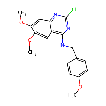 COc1ccc(CNc2nc(Cl)nc3cc(OC)c(OC)cc23)cc1